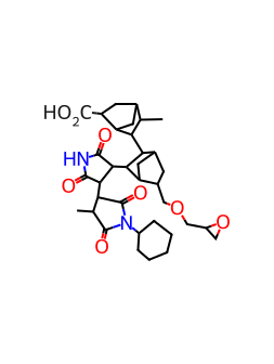 CC1C(=O)N(C2CCCCC2)C(=O)C1C1C(=O)NC(=O)C1C1C2CC(CC2COCC2CO2)C1C1C(C)C2CC(C(=O)O)C1C2